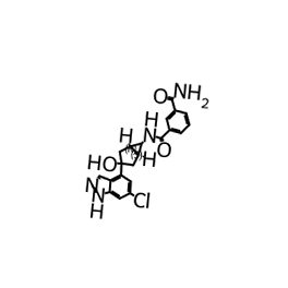 NC(=O)c1cccc(C(=O)NC2[C@H]3CC(O)(c4cc(Cl)cc5[nH]ncc45)C[C@@H]23)c1